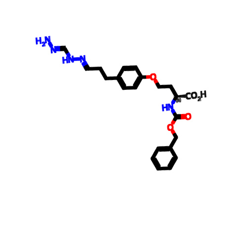 NN=CNN=CCCc1ccc(OCC[C@H](NC(=O)OCc2ccccc2)C(=O)O)cc1